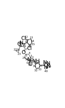 C[C@@H]1CC2C[C@H](OCc3c(-c4c(Cl)cccc4Cl)noc3C3CC3)CC1N2C(=O)Nc1cccc(-c2nnnn2C)c1